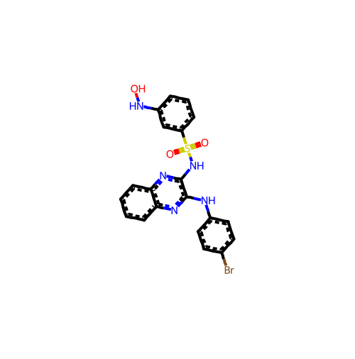 O=S(=O)(Nc1nc2ccccc2nc1Nc1ccc(Br)cc1)c1cccc(NO)c1